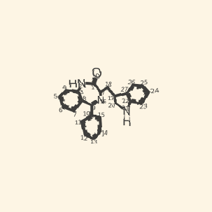 O=C1Nc2ccccc2C(c2ccccc2)=NC1CC1CNc2ccccc21